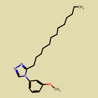 CCCCCCCCCCCCCc1nncn1-c1cccc(OC)c1